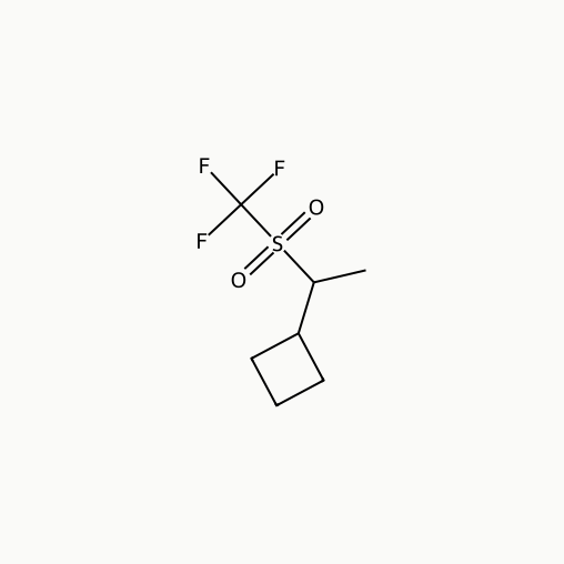 CC(C1CCC1)S(=O)(=O)C(F)(F)F